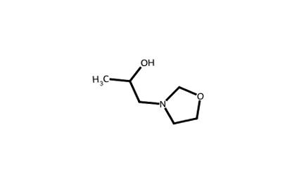 CC(O)CN1CCOC1